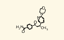 CC(=CC(=O)c1ccc(C(N)=O)cc1)c1ccc(N2CCOCC2)nc1